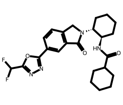 O=C(N[C@@H]1CCCC[C@H]1N1Cc2ccc(-c3nnc(C(F)F)o3)cc2C1=O)C1CCCCC1